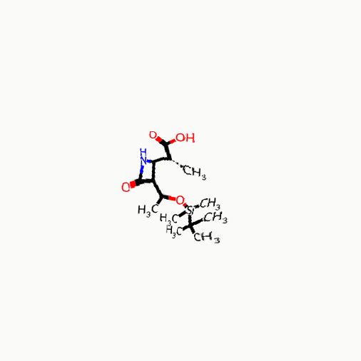 CC(O[Si](C)(C)C(C)(C)C)C1C(=O)NC1[C@@H](C)C(=O)O